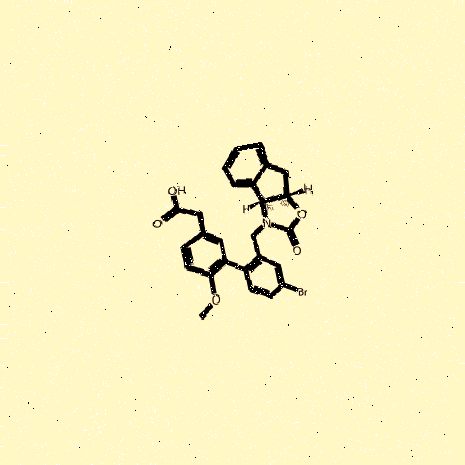 COc1ccc(CC(=O)O)cc1-c1ccc(Br)cc1CN1C(=O)O[C@H]2Cc3ccccc3[C@H]21